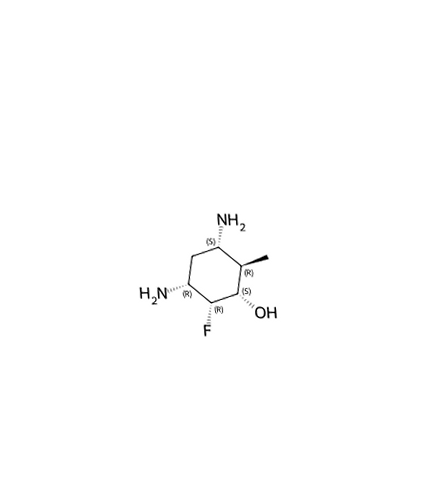 C[C@H]1[C@H](O)[C@H](F)[C@H](N)C[C@@H]1N